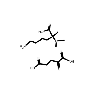 CN(C)C(C)(CCCCN)C(=O)O.O=C(O)CCC(=O)C(=O)O